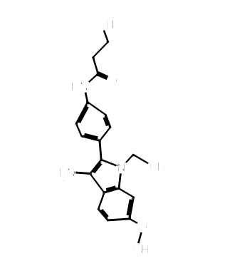 CCCC(=O)Nc1ccc(-c2c(N)c3ccc(OC)cc3n2CC)cc1